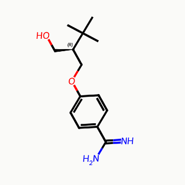 CC(C)(C)[C@H](CO)COc1ccc(C(=N)N)cc1